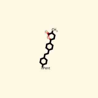 CCCCCC1CCC(CCC2CCC(C3CCC(C)C(=O)O3)CC2)CC1